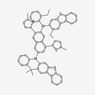 CCc1ccccc1N(c1cc2sc3ccccc3c2cc1CC)c1cc2c(-c3ccc(C)s3)cc(N3c4ccccc4C(C)(C)c4cc5c(cc43)sc3ccccc35)cc2cc1-c1ccc(C)s1